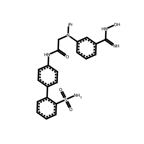 CC(C)N(CC(=O)Nc1ccc(-c2ccccc2S(N)(=O)=O)cc1)c1cccc(C(=N)NO)c1